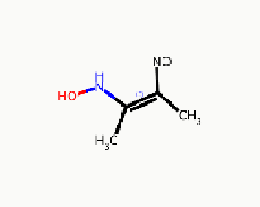 C/C(N=O)=C(\C)NO